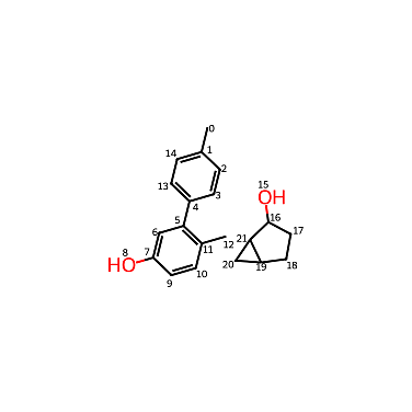 Cc1ccc(-c2cc(O)ccc2C)cc1.OC1CCC2CC12